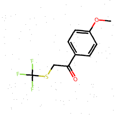 COc1ccc(C(=O)CSC(F)(F)F)cc1